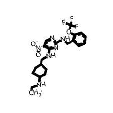 [CH2]CNC1CCC(CNc2nc(NCc3ccccc3OC(F)(F)F)ncc2[N+](=O)[O-])CC1